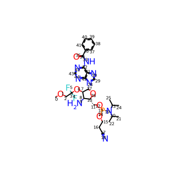 COCC(F)(F)O[C@@H]1[C@H](N)[C@@H](COP(OCCC#N)N(C(C)C)C(C)C)O[C@H]1n1cnc2c(NC(=O)c3ccccc3)ncnc21